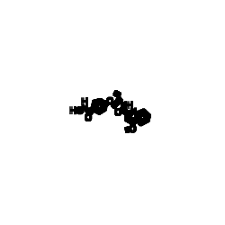 CC[C@@H](COc1ccc(C(=O)NO)cc1)NC(=O)c1cc(OC)c2ccccc2n1